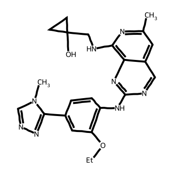 CCOc1cc(-c2nncn2C)ccc1Nc1ncc2cc(C)nc(NCC3(O)CC3)c2n1